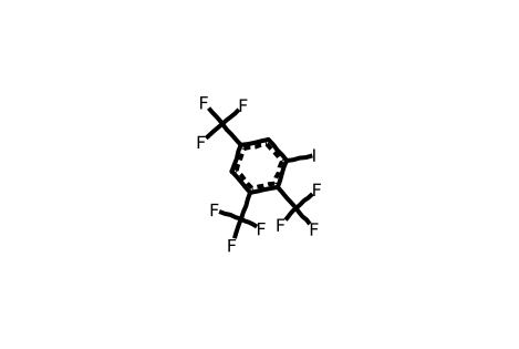 FC(F)(F)c1cc(I)c(C(F)(F)F)c(C(F)(F)F)c1